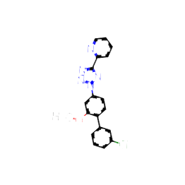 COc1cc(-n2nnc(-c3ccccn3)n2)ccc1-c1cccc(Cl)c1